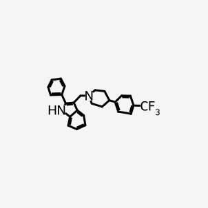 FC(F)(F)c1ccc(C2CCN(Cc3c(-c4ccccc4)[nH]c4ccccc34)CC2)cc1